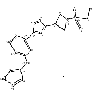 CCS(=O)(=O)N1CC(n2cc(-c3ccnc(Nc4cn[nH]c4)c3)cn2)C1